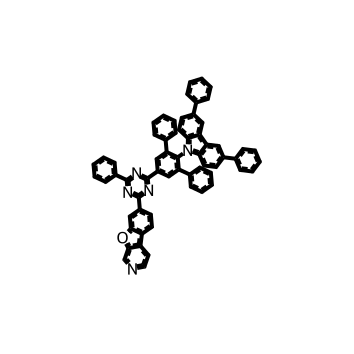 c1ccc(-c2ccc3c(c2)c2cc(-c4ccccc4)ccc2n3-c2c(-c3ccccc3)cc(-c3nc(-c4ccccc4)nc(-c4ccc5c(c4)oc4cnccc45)n3)cc2-c2ccccc2)cc1